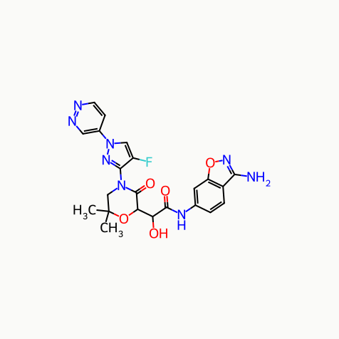 CC1(C)CN(c2nn(-c3ccnnc3)cc2F)C(=O)C(C(O)C(=O)Nc2ccc3c(N)noc3c2)O1